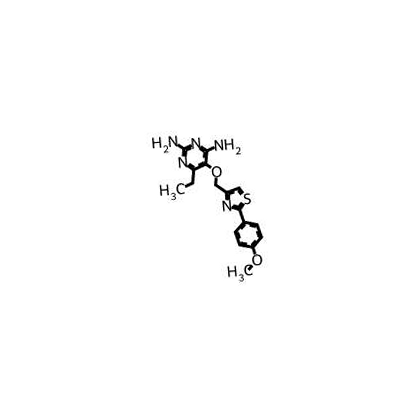 CCc1nc(N)nc(N)c1OCc1csc(-c2ccc(OC)cc2)n1